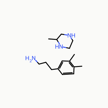 CC1CNCCN1.Cc1ccc(CCCN)cc1C